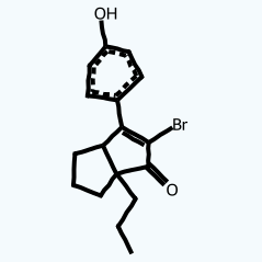 CCCC12CCCC1C(c1ccc(O)cc1)=C(Br)C2=O